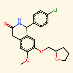 COc1cc2c(cc1OCC1CCCO1)C(c1ccc(Cl)cc1)NC(=O)C2